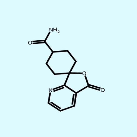 NC(=O)C1CCC2(CC1)OC(=O)c1cccnc12